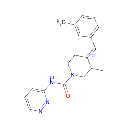 CC1CN(C(=O)Nc2cccnn2)CC/C1=C\c1cccc(C(F)(F)F)c1